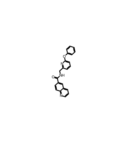 O=C(NCc1cccc(Oc2ccccc2)n1)c1ccc2ncccc2c1